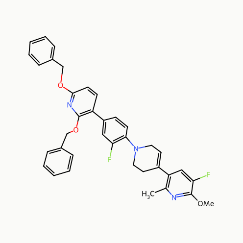 COc1nc(C)c(C2=CCN(c3ccc(-c4ccc(OCc5ccccc5)nc4OCc4ccccc4)cc3F)CC2)cc1F